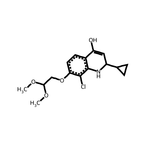 COC(COc1ccc2c(c1Cl)NC(C1CC1)C=C2O)OC